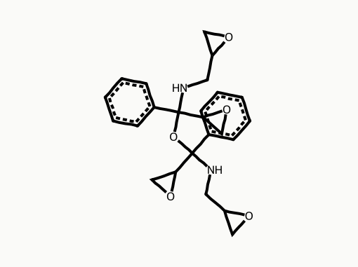 c1ccc(C(NCC2CO2)(OC(NCC2CO2)(c2ccccc2)C2CO2)C2CO2)cc1